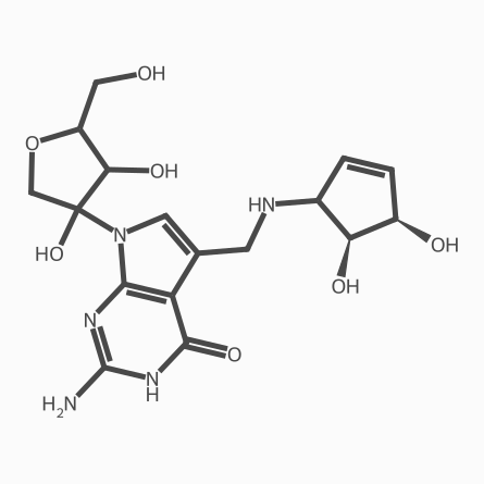 Nc1nc2c(c(CNC3C=C[C@@H](O)[C@H]3O)cn2C2(O)COC(CO)C2O)c(=O)[nH]1